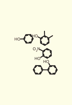 Cc1cccc(O)c1C.O=[N+]([O-])c1ccccc1O.Oc1ccccc1.Oc1ccccc1-c1ccccc1